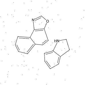 c1ccc2c(c1)CCN2.c1ccc2c(c1)ccc1ocnc12